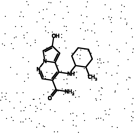 CC1CCCCC1Nc1c(C(N)=O)cnn2cc(O)cc12